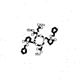 COC(=O)CC[C@@H](C(=O)OC(C)(C)C)N1CCN(Cc2cccc(=O)n2OCc2ccccc2)CCN(CC(=O)OC(C)(C)C)CCN(Cc2cccc(=O)n2OCc2ccccc2)CC1